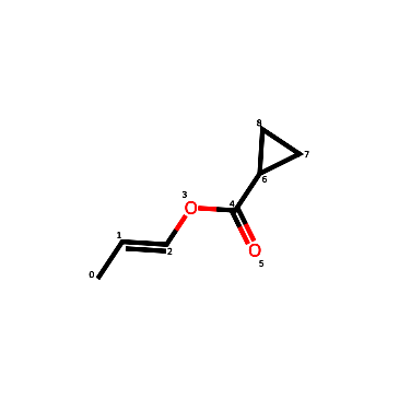 CC=COC(=O)C1CC1